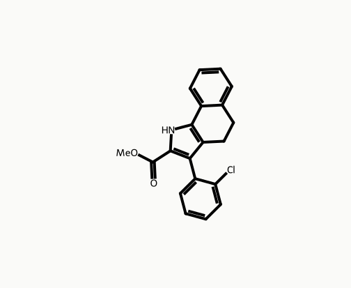 COC(=O)c1[nH]c2c(c1-c1ccccc1Cl)CCc1ccccc1-2